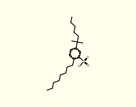 CCCCCCCCc1ccc(C(C)(C)CCCCC)cc1S(=O)(=O)Cl